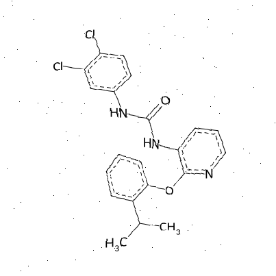 CC(C)c1ccccc1Oc1ncccc1NC(=O)Nc1ccc(Cl)c(Cl)c1